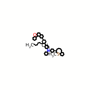 C=C/C=C\C=C/CC1(C)CC(c2ccc3ccc4oc5ccccc5c4c3c2)=CC=C1c1ccc(N(c2ccccc2)c2ccc(-c3ccccc4ccccc4sc3C)cc2)cc1